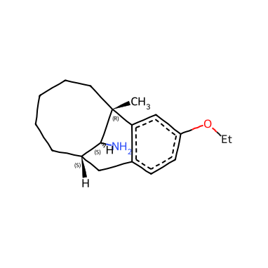 CCOc1ccc2c(c1)[C@@]1(C)CCCCC[C@@H](C2)[C@@H]1N